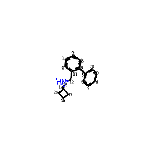 [c]1cccc(-c2ccccc2)c1CNC1CCC1